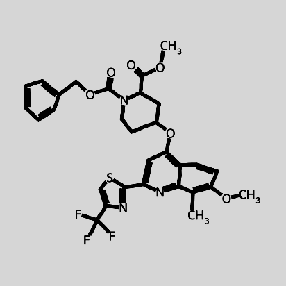 COC(=O)C1CC(Oc2cc(-c3nc(C(F)(F)F)cs3)nc3c(C)c(OC)ccc23)CCN1C(=O)OCc1ccccc1